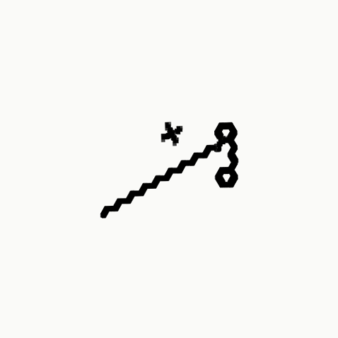 CCCCCCCCCCCCCCCCCCO[n+]1ccccc1CC=Cc1ccccc1.F[B-](F)(F)F